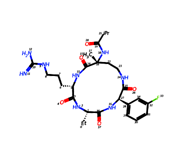 CC[C@@H]1NC(=O)[C@H](CCCNC(=N)N)NC(=O)[C@](C)(NC(=O)C(C)C)CCNC(=O)[C@@H](c2cccc(F)c2)NC1=O